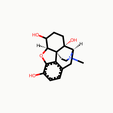 CN1CC[C@]23c4c5ccc(O)c4O[C@H]2C(O)CC[C@@]3(O)[C@H]1C5